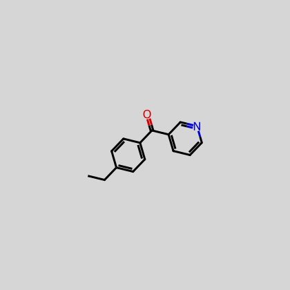 CCc1ccc(C(=O)c2cccnc2)cc1